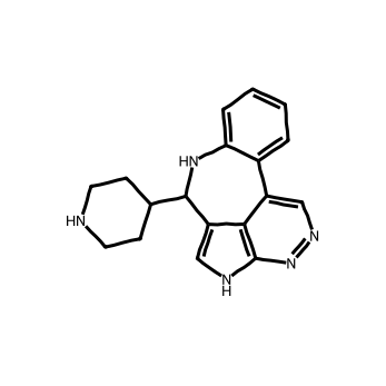 c1ccc2c(c1)NC(C1CCNCC1)c1c[nH]c3nncc-2c13